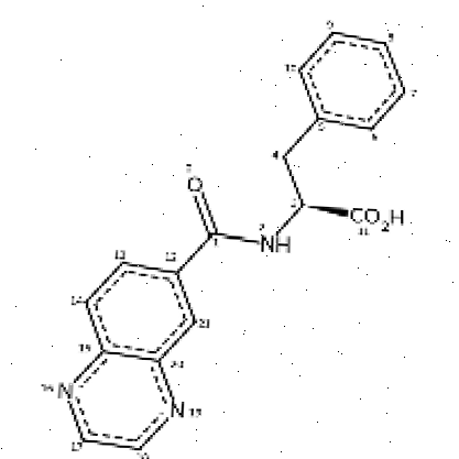 O=C(N[C@@H](Cc1ccccc1)C(=O)O)c1ccc2nccnc2c1